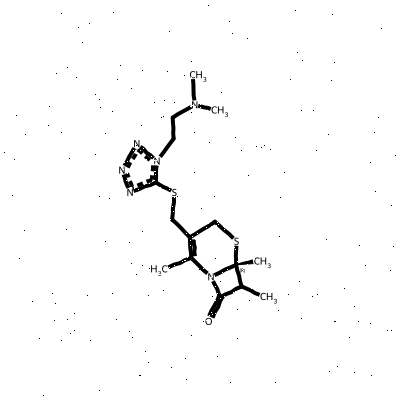 CC1=C(CSc2nnnn2CCN(C)C)CS[C@]2(C)C(C)C(=O)N12